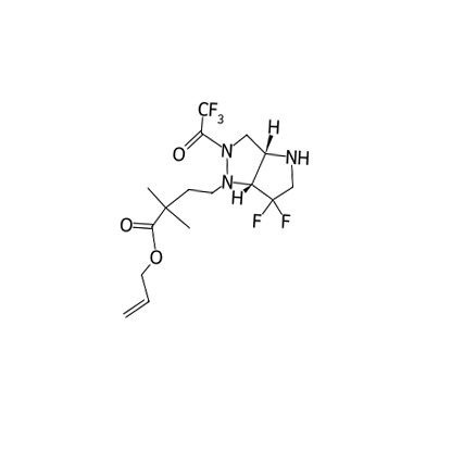 C=CCOC(=O)C(C)(C)CCN1[C@@H]2[C@H](CN1C(=O)C(F)(F)F)NCC2(F)F